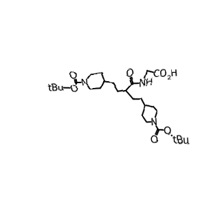 CC(C)(C)OC(=O)N1CCC(CCC(CCC2CCN(C(=O)OC(C)(C)C)CC2)C(=O)NCC(=O)O)CC1